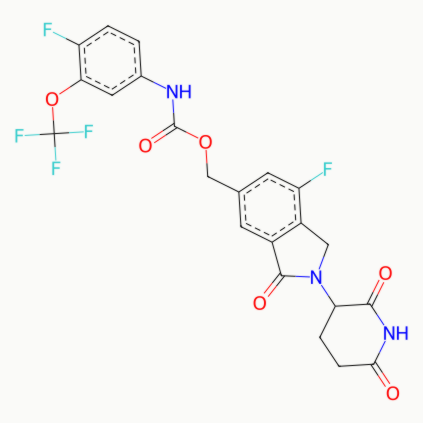 O=C1CCC(N2Cc3c(F)cc(COC(=O)Nc4ccc(F)c(OC(F)(F)F)c4)cc3C2=O)C(=O)N1